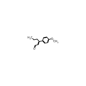 CCCC(=CC=O)c1ccc(OC)cc1